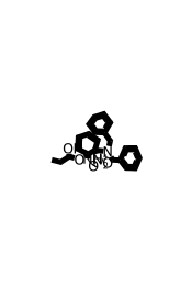 CCC(O)OC1(N)C=CC=CC1(N(Cc1ccccc1)Cc1ccccc1)[N+](=O)[O-]